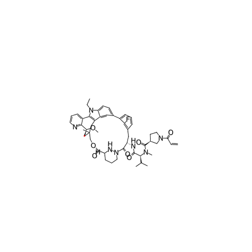 C=CC(=O)N1CC[C@H](C(=O)N(C)[C@H](C(=O)N[C@H]2Cc3cccc(c3F)-c3ccc4c(c3)c(c(-c3cccnc3[C@H](C)OC)n4CC)CC(C)(C)COC(=O)[C@@H]3CCCN(N3)C2=O)C(C)C)C1